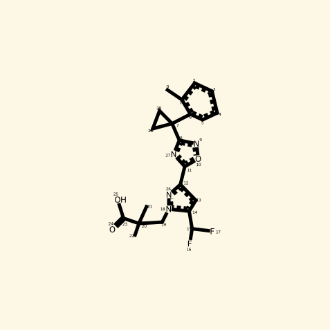 Cc1ccccc1C1(c2noc(-c3cc(C(F)F)n(CC(C)(C)C(=O)O)n3)n2)CC1